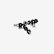 O=C(O[C@H](Cc1ccc(O)c(Br)c1)C(=O)N1CCN(C2CCOCC2)CC1)N1CCC(N2CCc3ccccc3NC2=O)CC1